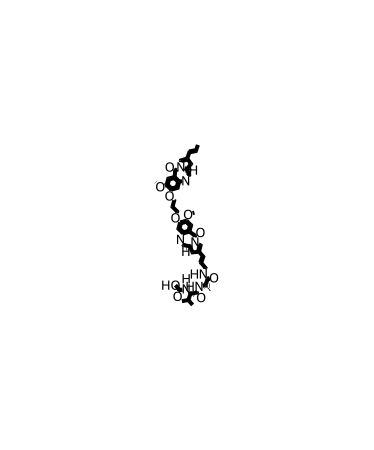 CC=CC1=CN2C(=O)c3cc(OC)c(OCCCOc4cc5c(cc4OC)C(=O)N4C=C(C=CCNC(=O)[C@H](C)NC(=O)[C@@H](NC(=O)O)C(C)C)C[C@H]4C=N5)cc3N=C[C@@H]2C1